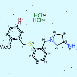 COc1ccc(Br)cc1CSc1ccccc1CN1CCC(N)C1.Cl.Cl